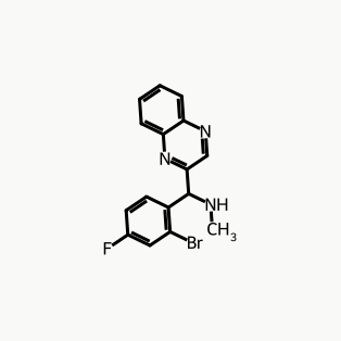 CNC(c1cnc2ccccc2n1)c1ccc(F)cc1Br